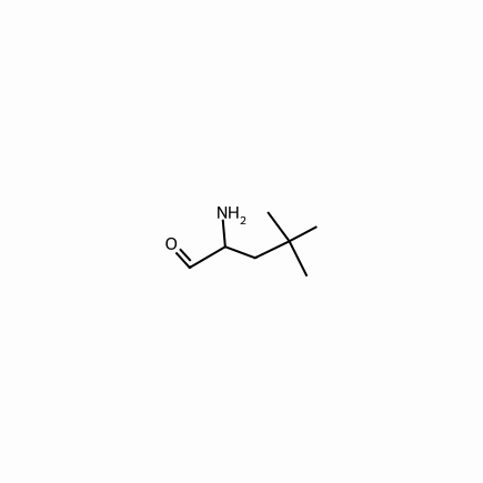 CC(C)(C)CC(N)C=O